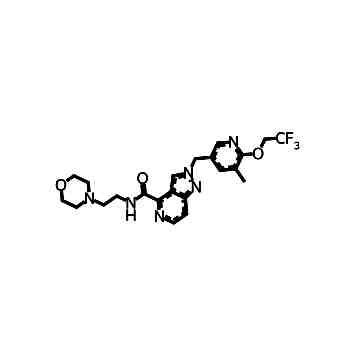 Cc1cc(Cn2cc3c(C(=O)NCCN4CCOCC4)nccc3n2)cnc1OCC(F)(F)F